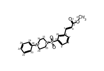 COC(=O)C=Cc1cccc(S(=O)(=O)N2CCN(c3ccccc3)CC2)c1